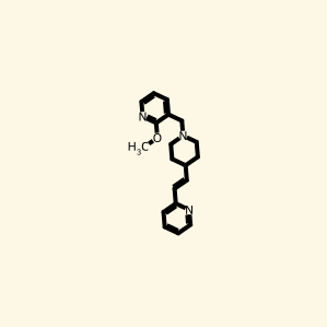 COc1ncccc1CN1CCC(C=Cc2ccccn2)CC1